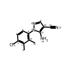 Cc1c(Cl)ccc(-n2ncc(C#N)c2N)c1C